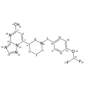 Cc1cc(C2CCCN(Cc3ccc(OC(F)F)cc3)C2)n2ncnc2n1